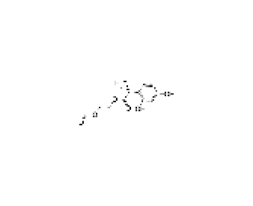 C=C(C(=O)OCCOC=O)c1ccc(O)cc1O